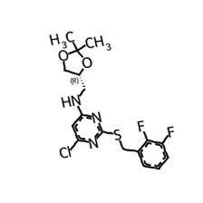 CC1(C)OC[C@@H](CNc2cc(Cl)nc(SCc3cccc(F)c3F)n2)O1